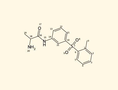 Cc1ccccc1S(=O)(=O)c1cccc(NC(=O)C(C)N)c1